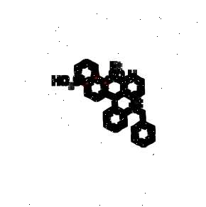 CCN(Cc1ccccc1)c1ccccc1C(c1ccccc1N(CC)Cc1ccccc1)c1ccc(S(=O)(=O)O)cc1S(=O)(=O)O